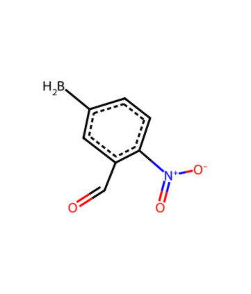 Bc1ccc([N+](=O)[O-])c(C=O)c1